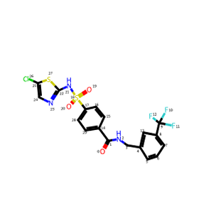 O=C(NCc1cccc(C(F)(F)F)c1)c1ccc(S(=O)(=O)Nc2ncc(Cl)s2)cc1